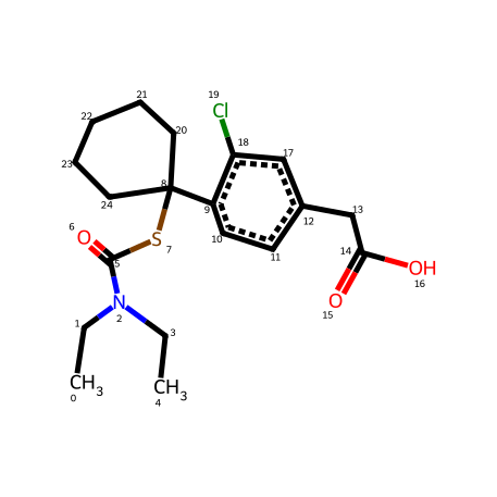 CCN(CC)C(=O)SC1(c2ccc(CC(=O)O)cc2Cl)CCCCC1